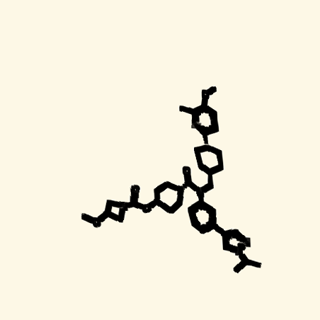 COc1ccc([C@H]2CC[C@H](CN(c3cccc(-c4cnn(C(C)C)c4)c3)C(=O)[C@H]3CC[C@H](OC(=O)N4CC(OC)C4)CC3)CC2)nc1C